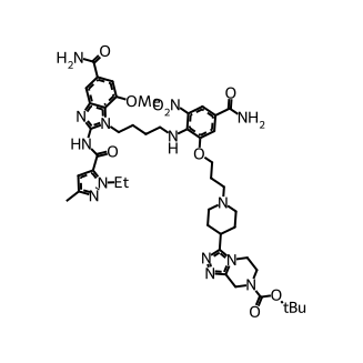 CCn1nc(C)cc1C(=O)Nc1nc2cc(C(N)=O)cc(OC)c2n1CCCCNc1c(OCCCN2CCC(c3nnc4n3CCN(C(=O)OC(C)(C)C)C4)CC2)cc(C(N)=O)cc1[N+](=O)[O-]